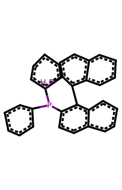 Pc1ccc2ccccc2c1-c1c(P(c2ccccc2)c2ccccc2)ccc2ccccc12